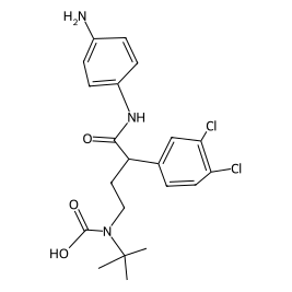 CC(C)(C)N(CCC(C(=O)Nc1ccc(N)cc1)c1ccc(Cl)c(Cl)c1)C(=O)O